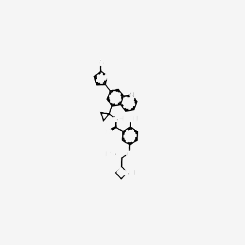 CC(=O)c1ccc(-c2cc(C3(NC(=O)c4cc(O[C@@H]([SiH3])[C@@H]5CCN5)ccc4C)CC3)c3cccnc3c2)s1